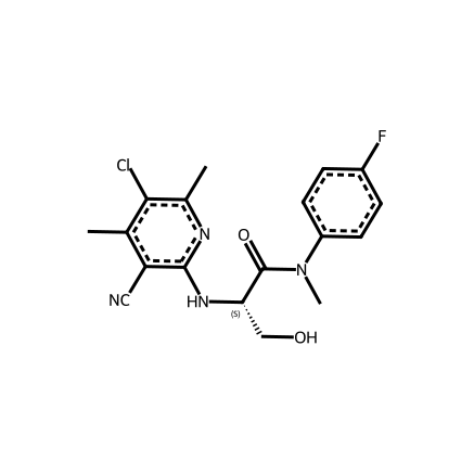 Cc1nc(N[C@@H](CO)C(=O)N(C)c2ccc(F)cc2)c(C#N)c(C)c1Cl